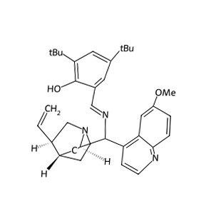 C=C[C@H]1CN2CC[C@H]1C[C@@H]2C(/N=C/c1cc(C(C)(C)C)cc(C(C)(C)C)c1O)c1ccnc2ccc(OC)cc12